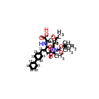 CC(=O)SCCOP(=O)(C[C@@H](Cc1ccc(-c2ccccc2)cc1)C(=O)N[C@@H](C)C(=O)O)[C@H](C)NC(=O)OC(C)(C)C